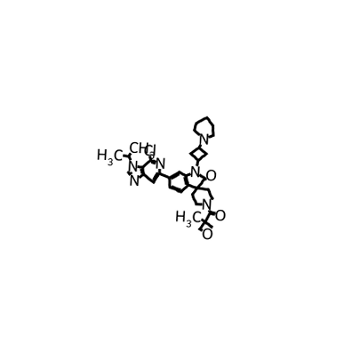 CC(C)n1cnc2cc(-c3ccc4c(c3)N(C3CC(N5CCCCC5)C3)C(=O)C43CCN(C(=O)C4(C)COC4)CC3)nc(Cl)c21